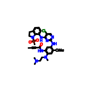 CC#CC(=O)Nc1cc(Nc2ncc(Cl)c(Nc3cccc4c3N(S(C)(=O)=O)CC4)n2)c(OC)cc1N(C)CCN(C)C